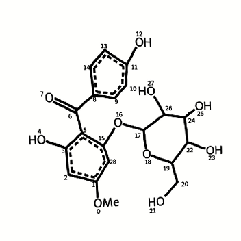 COc1cc(O)c(C(=O)c2ccc(O)cc2)c(OC2OC(CO)C(O)C(O)C2O)c1